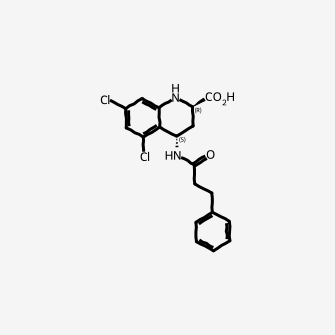 O=C(CCc1ccccc1)N[C@H]1C[C@H](C(=O)O)Nc2cc(Cl)cc(Cl)c21